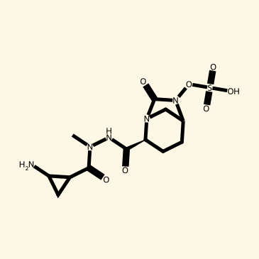 CN(NC(=O)[C@@H]1CCC2CN1C(=O)N2OS(=O)(=O)O)C(=O)C1CC1N